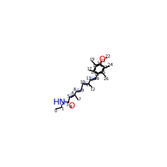 CCNC(=O)/C=C(C)/C=C/C=C(C)/C=C/c1c(C)c(C)c(OC)c(C)c1C